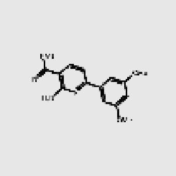 CNC(=N)c1ccc(-c2cc(OC)cc(OC)c2)nc1N